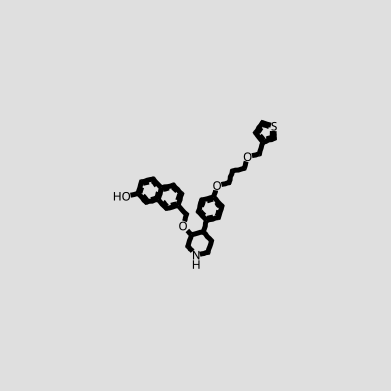 Oc1ccc2ccc(COC3CNCCC3c3ccc(OCCCOCc4ccsc4)cc3)cc2c1